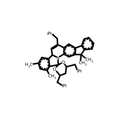 Cc1cc(C)c2c(c1)C1C=C(CC(C)C)c3cc4c(cc3N1C21OC(CC(C)C)CC(CC(C)C)O1)C(C)(C)c1ccccc1-4